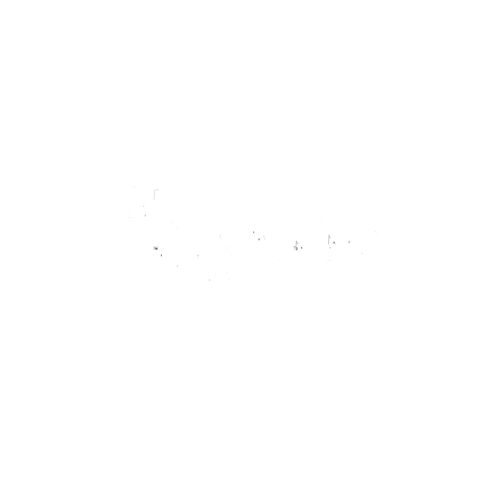 O=C(CN1CCc2cc(Oc3ccc(C(F)(F)F)cn3)ccc2C1)N1CCN(C2CCC2)CC1